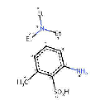 CCN(CC)CC.Cc1cccc(N)c1S(=O)(=O)O